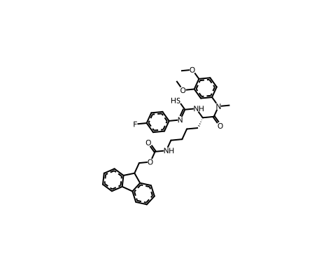 COc1ccc(N(C)C(=O)[C@H](CCCCNC(=O)OCC2c3ccccc3-c3ccccc32)N/C(S)=N/c2ccc(F)cc2)cc1OC